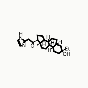 CC[C@@]1(O)CC[C@H]2[C@H](CC[C@@H]3[C@@H]2CC[C@]2(C)[C@@H](C(=O)Cc4ncc[nH]4)CC[C@@H]32)C1